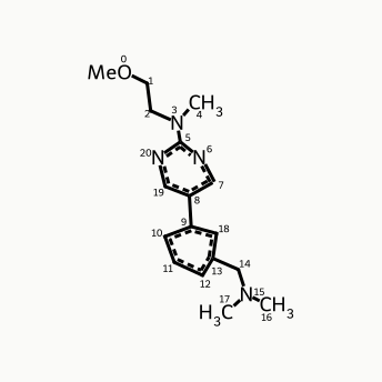 COCCN(C)c1ncc(-c2cccc(CN(C)C)c2)cn1